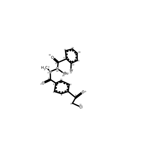 CN(C(=O)c1ccc(C(=O)CCl)cc1)N(C(=O)c1ccccc1Br)C(C)(C)C